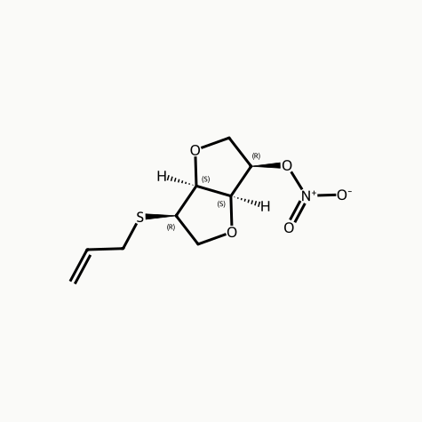 C=CCS[C@@H]1CO[C@H]2[C@@H]1OC[C@H]2O[N+](=O)[O-]